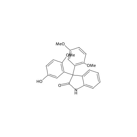 COc1ccc(OC)c(C2(c3cc(O)ccc3OC)C(=O)Nc3ccccc32)c1